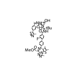 COC(=O)C[C@@H]1N=C(c2ccc(-c3ccc(C(=O)N[C@H](C(=O)N4C[C@H](O)C[C@H]4C(=O)N[C@@H](C)c4ccc(-c5scnc5C)cc4)C(C)(C)C)cc3F)cc2)c2c(sc(C)c2C)-n2c(C)nnc21